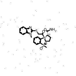 Cn1c(SCC(=O)[N+]2(c3ccccc3S(C)(=O)=O)CCC[C@H]2C(N)=O)nc2ccccc21